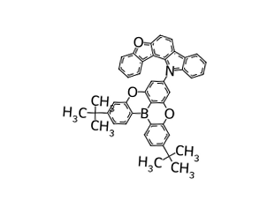 CC(C)(C)c1ccc2c(c1)Oc1cc(-n3c4ccccc4c4ccc5oc6ccccc6c5c43)cc3c1B2c1ccc(C(C)(C)C)cc1O3